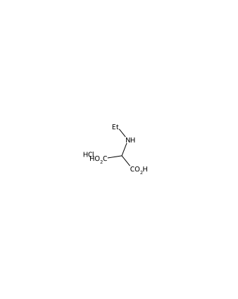 CCNC(C(=O)O)C(=O)O.Cl